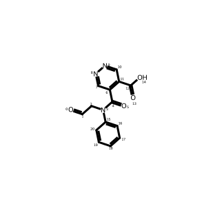 O=CCN(C(=O)c1cnncc1C(=O)O)c1ccccc1